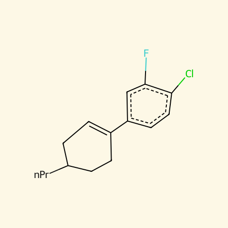 CCCC1CC=C(c2ccc(Cl)c(F)c2)CC1